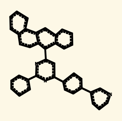 c1ccc(-c2nc(-c3ccc(-c4cccnc4)cc3)cc(-c3c4ccccc4cc4c3ccc3ccccc34)n2)cc1